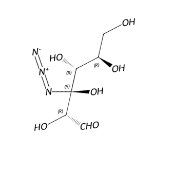 [N-]=[N+]=N[C@](O)([C@H](O)[C@H](O)CO)[C@@H](O)C=O